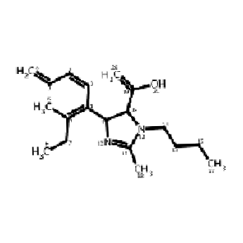 C=C/C=C\C(=C(/C)CC)C1N=C(C)N(CCCC)C1C(=C)O